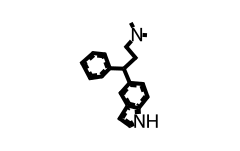 CN(C)CCC(c1ccccc1)c1ccc2[nH]ccc2c1